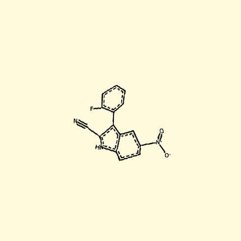 N#Cc1[nH]c2ccc([N+](=O)[O-])cc2c1-c1ccccc1F